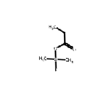 CCC(=O)O[Si](C)(C)F